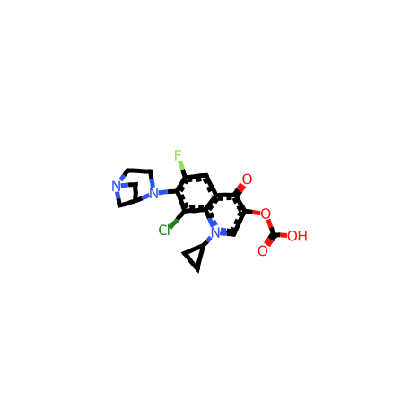 O=C(O)Oc1cn(C2CC2)c2c(Cl)c(N3CCN4CC3C4)c(F)cc2c1=O